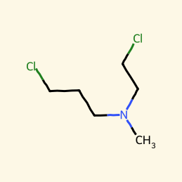 CN(CCCl)CCCCl